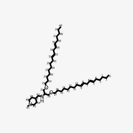 CCCCCC=CCC=CCCCCCCCCOCC(COCCCCCCCCC=CCC=CCCCCC)NCC1CCN(C)CC1